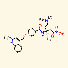 CCN(CC)CCC(C)(CC(=O)NO)NC(=O)c1ccc(OCc2cc(C)nc3ccccc23)cc1